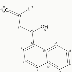 C=C(I)CC(O)c1cccc2ccccc12